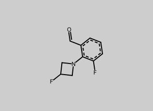 O=Cc1cccc(F)c1N1CC(F)C1